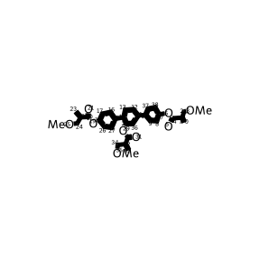 C=C(COC)C(=O)Oc1ccc(-c2ccc(-c3ccc(OC(=O)C(=C)COC)cc3)c(OC(=O)C(=C)COC)c2)cc1